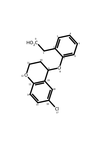 O=C(O)Cc1ccccc1OC1CCOc2ccc(Cl)cc21